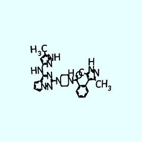 Cc1cc(Nc2nc(N3CCN(C(=O)c4ccccc4-c4c(C)n[nH]c4C)CC3)nn3cccc23)n[nH]1